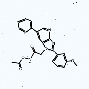 COc1cccc(-c2nc3ncc(-c4ccccc4)cc3n2CC(=O)NOC(C)=O)c1